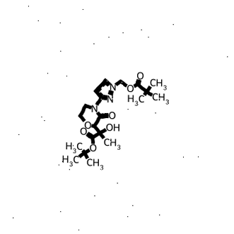 CC(C)(C)OC(=O)C(C)(O)C1OCCN(c2ccn(COC(=O)C(C)(C)C)n2)C1=O